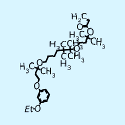 C=CC(=O)OC(C)(C)CCOC(C)(C)C(C)(C)CCCCOC(C)(C)CCOc1cccc(OCC)c1